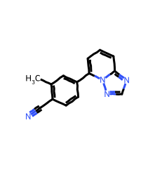 Cc1cc(-c2cccc3ncnn23)ccc1C#N